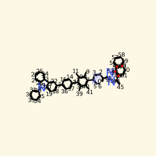 C=C(/C=C\C(=C/C)c1c(C)c(C)c(-c2ccc(-c3ccc4c(c3)c3ccccc3n4-c3ccccc3)cc2)c(C)c1C)C(=N/C(=C)c1ccccc1)/N=C(\C)c1ccccc1